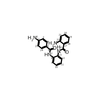 Nc1ccc(C(=O)Nc2ccccc2NC(=O)c2ccccc2N)cc1